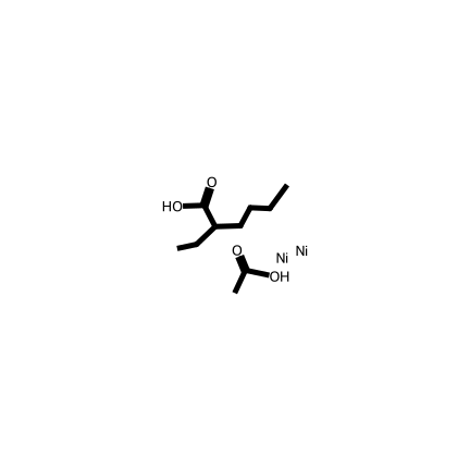 CC(=O)O.CCCCC(CC)C(=O)O.[Ni].[Ni]